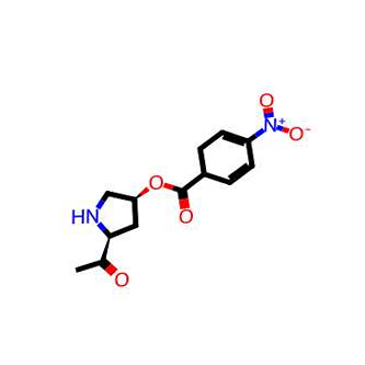 CC(=O)[C@@H]1C[C@H](OC(=O)C2C=CC([N+](=O)[O-])=CC2)CN1